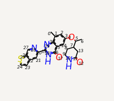 Cc1cc(OC(C)C2CCNC(=O)C2)cc2c(=O)[nH]c(-c3cc4ccsc4cn3)nc12